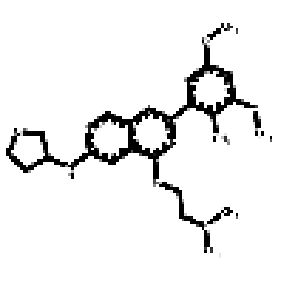 COc1cc(OC)c(C)c(-c2cc3cnc(NC4CCOC4)cc3c(NCCN(C)C)n2)c1